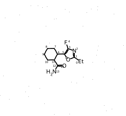 CCc1nc(F)c(C2CCCCC2C(N)=O)o1